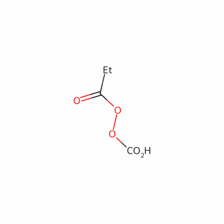 CCC(=O)OOC(=O)O